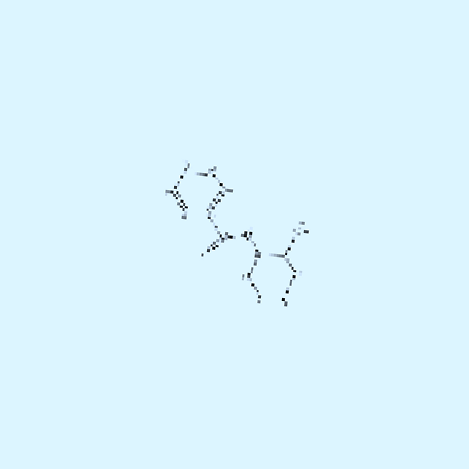 OC1CCCCC1OC(=S)c1ccccc1